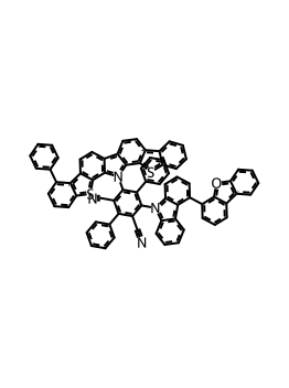 N#Cc1c(-c2ccccc2)c(C#N)c(-n2c3c(ccc4c5ccccc5sc43)c3ccc4c(sc5cccc(-c6ccccc6)c54)c32)c(-c2ccccc2)c1-n1c2ccccc2c2c(-c3cccc4c3oc3ccccc34)cccc21